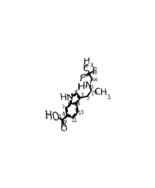 C[C@H](Cc1c[nH]c2cc(C(=O)O)ccc12)NCC(C)(F)F